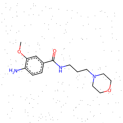 COc1cc(C(=O)NCCCN2CCOCC2)ccc1N